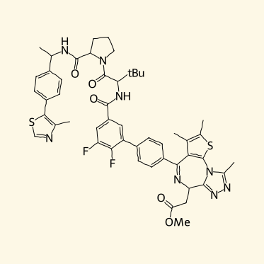 COC(=O)CC1N=C(c2ccc(-c3cc(C(=O)NC(C(=O)N4CCCC4C(=O)NC(C)c4ccc(-c5scnc5C)cc4)C(C)(C)C)cc(F)c3F)cc2)c2c(sc(C)c2C)-n2c(C)nnc21